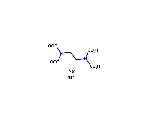 O=C([O-])N(CCN(C(=O)O)C(=O)O)C(=O)[O-].[Na+].[Na+]